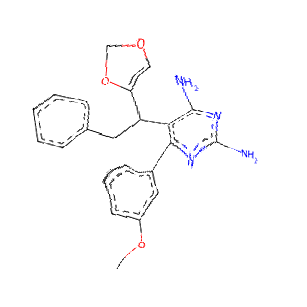 COc1cccc(-c2nc(N)nc(N)c2C(Cc2ccccc2)C2=COCO2)c1